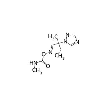 CCC(C)(C=NOC(=O)NC)n1cncn1